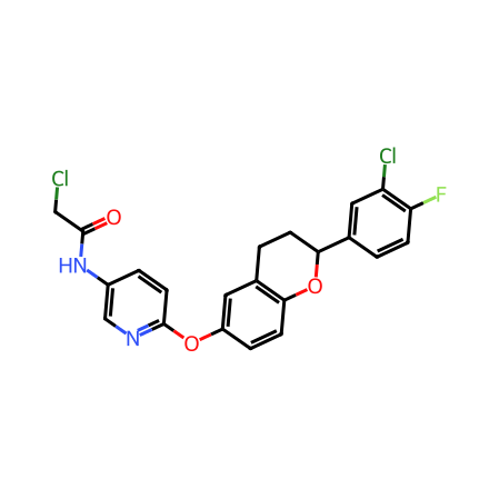 O=C(CCl)Nc1ccc(Oc2ccc3c(c2)CCC(c2ccc(F)c(Cl)c2)O3)nc1